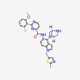 COc1cccc(F)c1-c1nccc(C(=O)Nc2ccc3c(ccn3Cc3cnc(C)s3)c2N2C[C@@H]3C[C@H]2CN3)n1